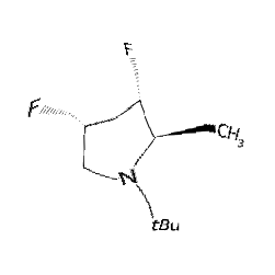 C[C@@H]1[C@@H](F)[C@@H](F)CN1C(C)(C)C